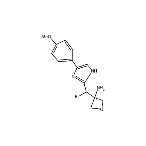 CCC(c1nc(-c2ccc(OC)cc2)c[nH]1)C1(N)COC1